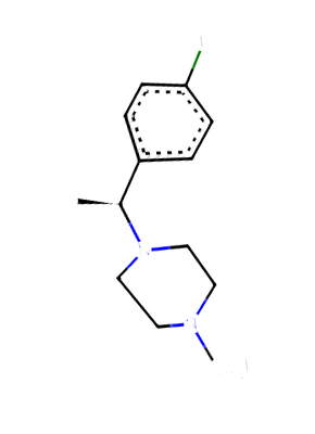 C[C@@H](c1ccc(F)cc1)N1CCN(C(=O)O)CC1